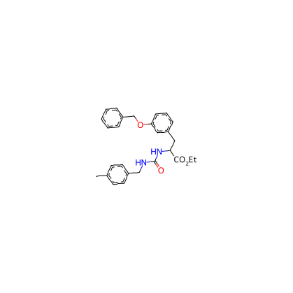 CCOC(=O)C(Cc1cccc(OCc2ccccc2)c1)NC(=O)NCc1ccc(C)cc1